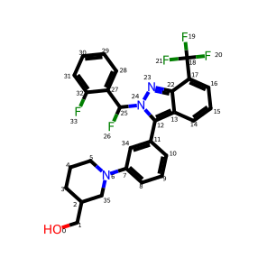 OCC1CCCN(c2cccc(-c3c4cccc(C(F)(F)F)c4nn3C(F)c3ccccc3F)c2)C1